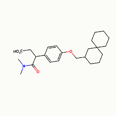 CN(C)C(=O)C(CC(=O)O)c1ccc(OCC2CCCC3(CCCCC3)C2)cc1